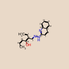 C=CC(/C=N/Nc1ccc2ccccc2n1)=C(O)\C=C/C